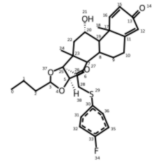 CCCC1O[C@@H]2CC3C4CCC5=CC(=O)C=CC5(C)C4[C@@H](O)CC3(C)[C@]2(C(=O)CSc2ccc(F)cc2)O1